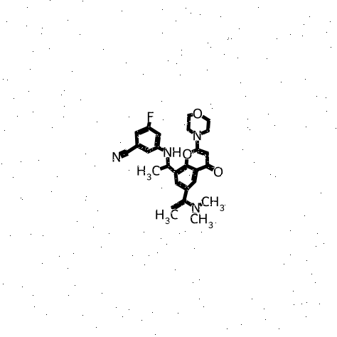 CC=C(c1cc(C(C)Nc2cc(F)cc(C#N)c2)c2oc(N3CCOCC3)cc(=O)c2c1)N(C)C